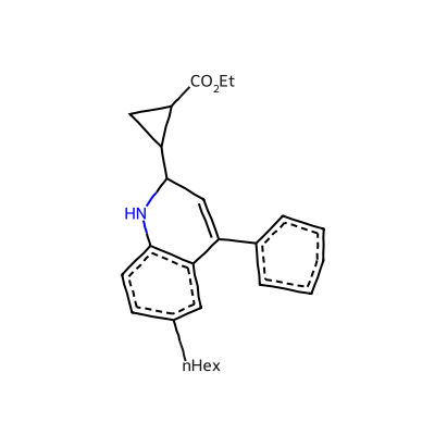 CCCCCCc1ccc2c(c1)C(c1ccccc1)=CC(C1CC1C(=O)OCC)N2